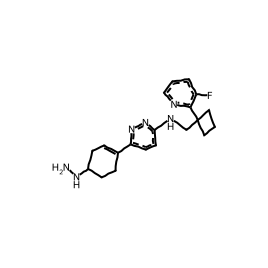 NNC1CC=C(c2ccc(NCC3(c4ncccc4F)CCC3)nn2)CC1